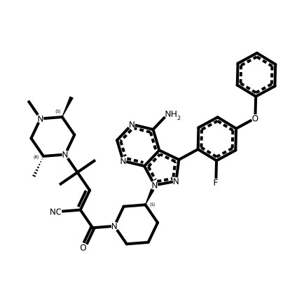 C[C@@H]1CN(C)[C@@H](C)CN1C(C)(C)C=C(C#N)C(=O)N1CCC[C@H](n2nc(-c3ccc(Oc4ccccc4)cc3F)c3c(N)ncnc32)C1